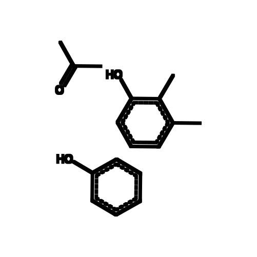 CC(C)=O.Cc1cccc(O)c1C.Oc1ccccc1